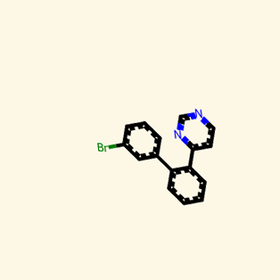 Brc1cccc(-c2ccccc2-c2ccncn2)c1